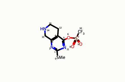 CSc1nc2c(c(OS(=O)(=O)C(F)(F)F)n1)CCNC2